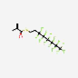 C=C(C)C(=O)SCCC(F)(F)C(F)(F)C(F)(F)C(F)(F)C(F)(F)C(F)(F)F